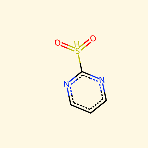 O=[SH](=O)c1ncccn1